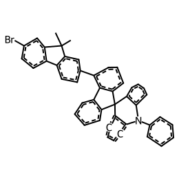 CC1(C)c2cc(Br)ccc2-c2ccc(-c3cccc4c3-c3ccccc3C43c4ccccc4N(c4ccccc4)c4ccccc43)cc21